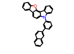 c1cc(-c2ccc3ccccc3c2)cc(-n2c3ccccc3c3c4oc5ccccc5c4ccc32)c1